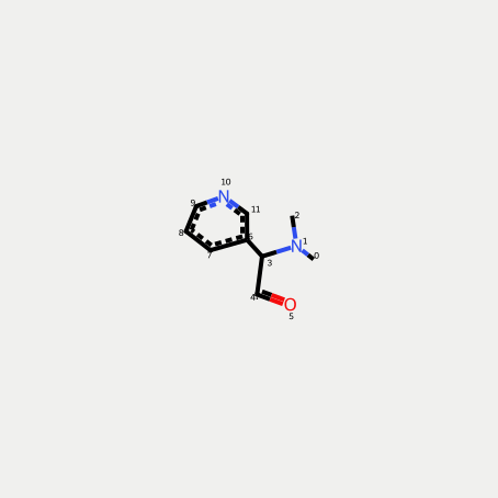 CN(C)C([C]=O)c1cccnc1